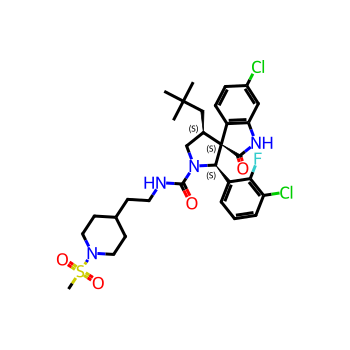 CC(C)(C)C[C@@H]1CN(C(=O)NCCC2CCN(S(C)(=O)=O)CC2)[C@H](c2cccc(Cl)c2F)[C@]12C(=O)Nc1cc(Cl)ccc12